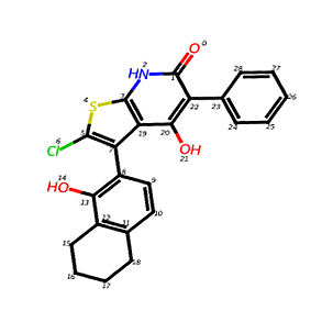 O=c1[nH]c2sc(Cl)c(-c3ccc4c(c3O)CCCC4)c2c(O)c1-c1ccccc1